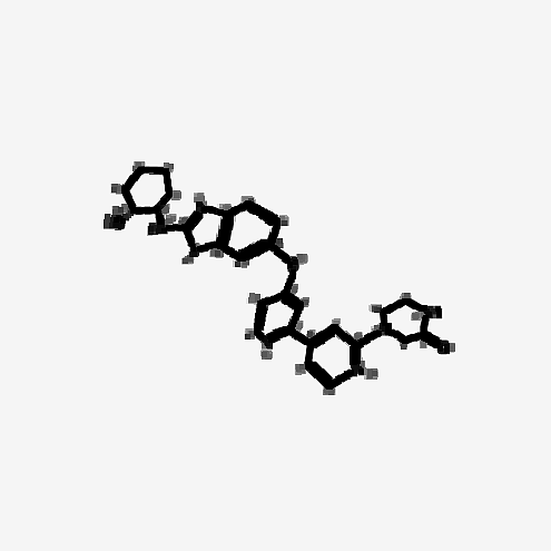 O=C1CN(c2cc(-c3cc(Oc4ccc5nc(N[C@@H]6CCCC[C@H]6O)sc5c4)ccn3)ccn2)CCN1